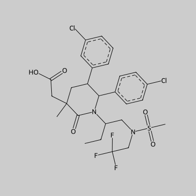 CCC(CN(CC(F)(F)F)S(C)(=O)=O)N1C(=O)C(C)(CC(=O)O)CC(c2cccc(Cl)c2)C1c1ccc(Cl)cc1